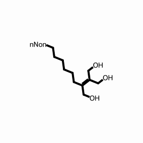 CCCCCCCCCCCCCCCC(CO)=C(CO)CO